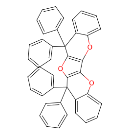 c1ccc(C2(c3ccccc3)c3ccccc3Oc3c2oc2c3Oc3ccccc3C2(c2ccccc2)c2ccccc2)cc1